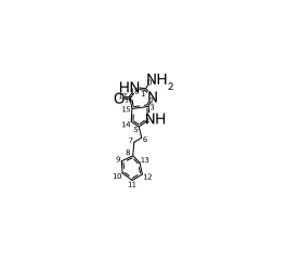 Nc1nc2[nH]c(CCc3ccccc3)cc2c(=O)[nH]1